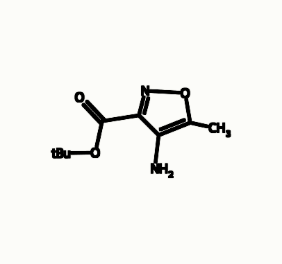 Cc1onc(C(=O)OC(C)(C)C)c1N